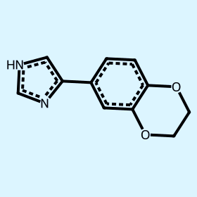 c1nc(-c2ccc3c(c2)OCCO3)c[nH]1